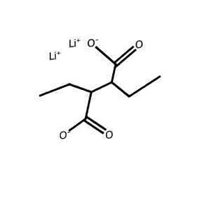 CCC(C(=O)[O-])C(CC)C(=O)[O-].[Li+].[Li+]